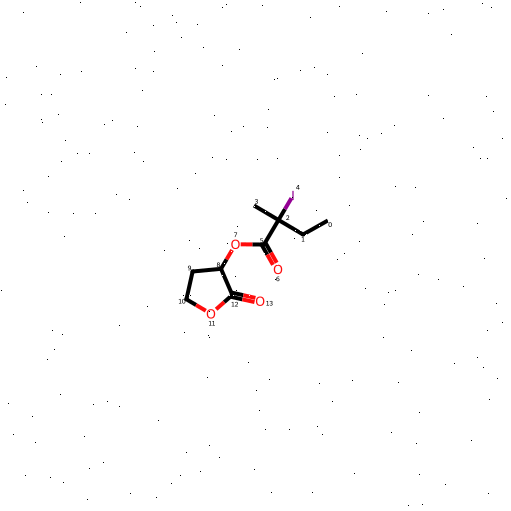 CCC(C)(I)C(=O)OC1CCOC1=O